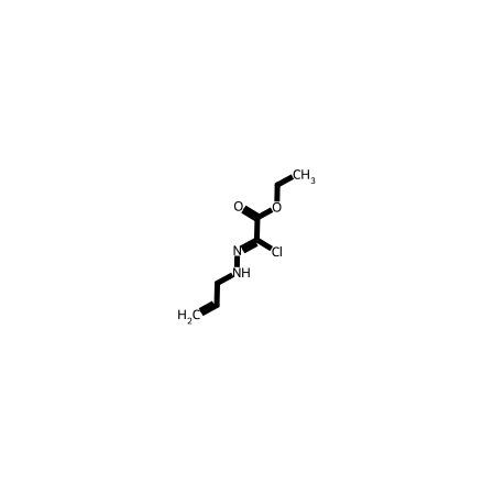 C=CCN/N=C(\Cl)C(=O)OCC